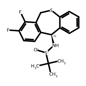 CC(C)(C)[S+]([O-])N[C@@H]1c2ccccc2SCc2c1ccc(F)c2F